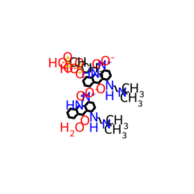 CN(C)CCNc1ccc([N+](=O)[O-])c2[nH]c3ccccc3c(=O)c12.CN(C)CCNc1ccc([N+](=O)[O-])c2[nH]c3ccccc3c(=O)c12.CS(=O)(=O)O.CS(=O)(=O)O.O